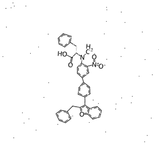 CN(c1ccc(-c2ccc(-c3c(Cc4ccccc4)oc4ccccc34)cc2)cc1[N+](=O)[O-])[C@@H](Cc1ccccc1)C(=O)O